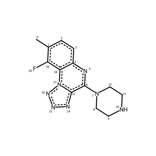 Cc1ccc2nc(N3CCNCC3)c3nnnn3c2c1F